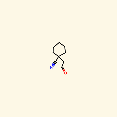 N#CC1(CC=O)CCCCC1